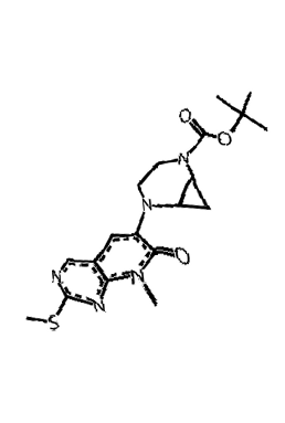 CSc1ncc2cc(N3CCN(C(=O)OC(C)(C)C)C4CC43)c(=O)n(C)c2n1